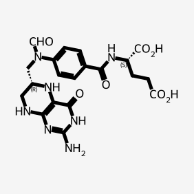 Nc1nc2c(c(=O)[nH]1)N[C@@H](CN(C=O)c1ccc(C(=O)N[C@@H](CCC(=O)O)C(=O)O)cc1)CN2